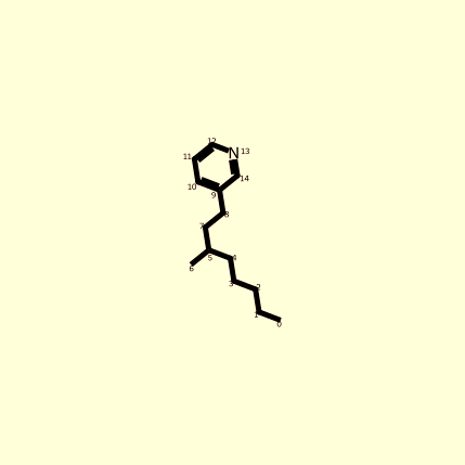 CCCCC[C](C)CCc1cccnc1